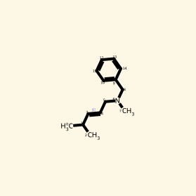 CC(C)/C=C/CN(C)Cc1ccccc1